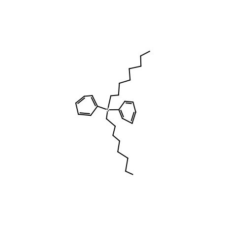 CCCCCCCCS(CCCCCCCC)(c1ccccc1)c1ccccc1